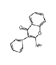 CCCc1oc2ccccc2c(=O)c1-c1ccccc1